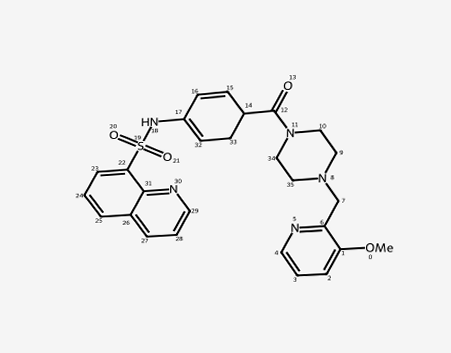 COc1cccnc1CN1CCN(C(=O)C2C=CC(NS(=O)(=O)c3cccc4cccnc34)=CC2)CC1